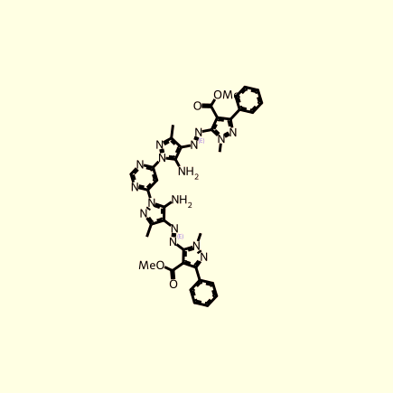 COC(=O)c1c(-c2ccccc2)nn(C)c1/N=N/c1c(C)nn(-c2cc(-n3nc(C)c(/N=N/c4c(C(=O)OC)c(-c5ccccc5)nn4C)c3N)ncn2)c1N